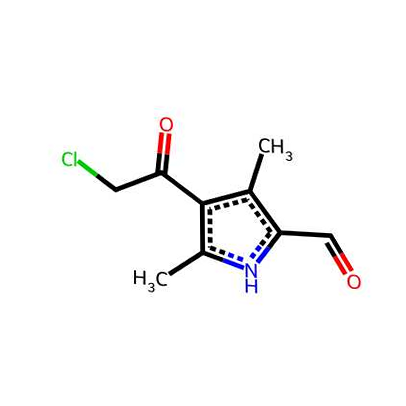 Cc1[nH]c(C=O)c(C)c1C(=O)CCl